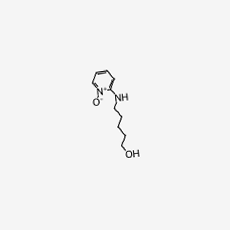 [O-][n+]1ccccc1NCCCCCO